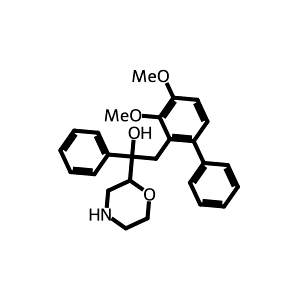 COc1ccc(-c2ccccc2)c(CC(O)(c2ccccc2)C2CNCCO2)c1OC